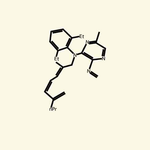 C=Nc1ncc(C)nc1N(C/C(C)=C/C=C\C(=C)CCC)c1c(CC)cccc1CC